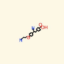 N#CCCCOc1ccc(C(C#N)=Cc2ccc(C(=O)O)cc2)cc1